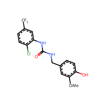 COc1cc(CNC(=O)Nc2cc(C(F)(F)F)ccc2Cl)ccc1O